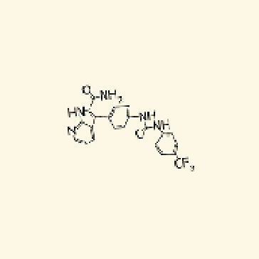 NC(=O)c1[nH]c2ncccc2c1-c1ccc(NC(=O)Nc2ccc(C(F)(F)F)cc2)cc1